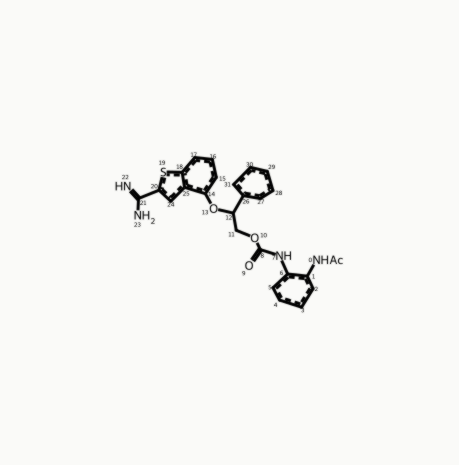 CC(=O)Nc1ccccc1NC(=O)OCC(Oc1cccc2sc(C(=N)N)cc12)c1ccccc1